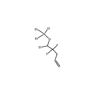 C=CCC(F)(F)C(CC)O[Si](CC)(CC)CC